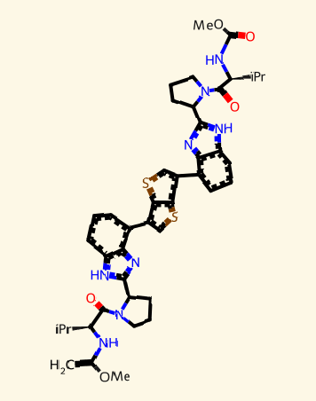 C=C(N[C@H](C(=O)N1CCCC1c1nc2c(-c3csc4c(-c5cccc6[nH]c(C7CCCN7C(=O)[C@@H](NC(=O)OC)C(C)C)nc56)csc34)cccc2[nH]1)C(C)C)OC